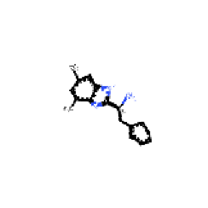 N[C@@H](Cc1ccccc1)c1nc2c(C(F)(F)F)cc(C(F)(F)F)cc2[nH]1